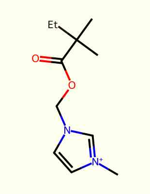 CCC(C)(C)C(=O)OCn1cc[n+](C)c1